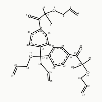 C=CCOC(C)(C)C(=O)c1ccc(C(CC=C)(OCC=C)c2ccc(C(=O)C(C)(C)OCC=C)cc2)cc1